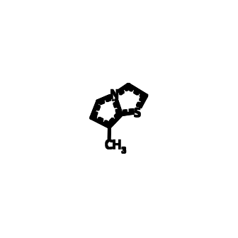 Cc1ccn2ccsc12